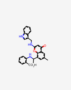 Cc1cc(C(C)Nc2ccccc2C(=O)O)c2oc(NCc3c[nH]c4ccccc34)cc(=O)c2c1